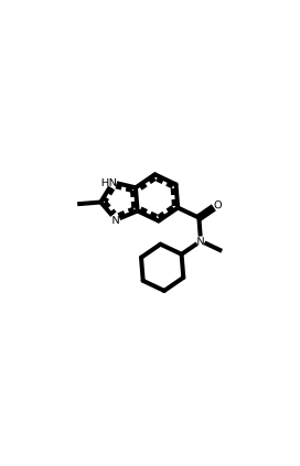 Cc1nc2cc(C(=O)N(C)C3CCCCC3)ccc2[nH]1